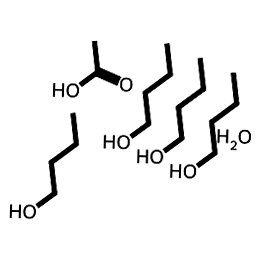 CC(=O)O.CCCCO.CCCCO.CCCCO.CCCCO.O